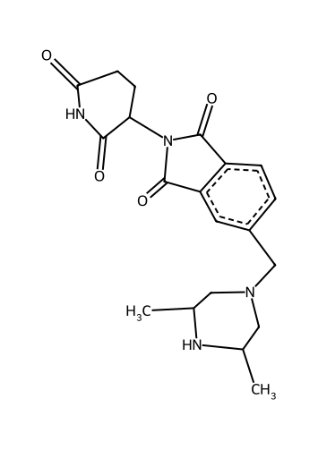 CC1CN(Cc2ccc3c(c2)C(=O)N(C2CCC(=O)NC2=O)C3=O)CC(C)N1